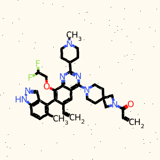 C=CC(=O)N1CC2(CCN(c3nc(C4CCN(C)CC4)nc4c(OCC(F)F)c(-c5c(C)ccc6[nH]ncc56)c(C=C)cc34)CC2)C1